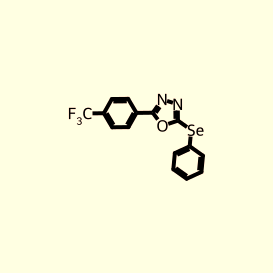 FC(F)(F)c1ccc(-c2nnc([Se]c3ccccc3)o2)cc1